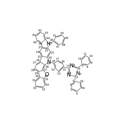 c1ccc(-c2nc(-c3ccccc3)nc(-c3ccc(-n4c5cc6c(cc5c5ccc7c8ccccc8oc7c54)c4ccccc4n6-c4ccccc4)cc3)n2)cc1